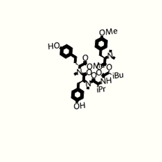 CC[C@@H](C)[C@@H](OC(=O)[C@@H](Cc1ccc(OC)cc1)N(C)C)C(=O)N[C@H](C(=O)N(C)[C@@H](Cc1ccc(O)cc1)C(=O)N(C)[C@H](CCc1ccc(O)cc1)C(=O)OC)C(C)C